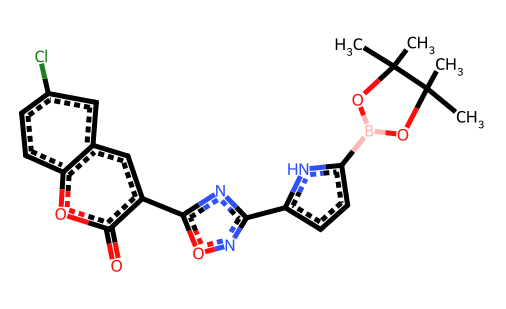 CC1(C)OB(c2ccc(-c3noc(-c4cc5cc(Cl)ccc5oc4=O)n3)[nH]2)OC1(C)C